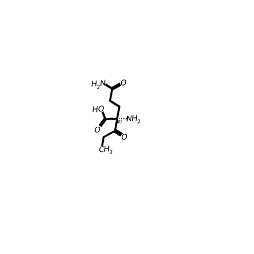 CCC(=O)[C@](N)(CCC(N)=O)C(=O)O